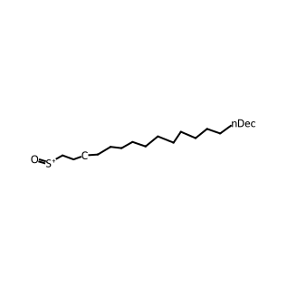 CCCCCCCCCCCCCCCCCCCCCCCC[S+]=O